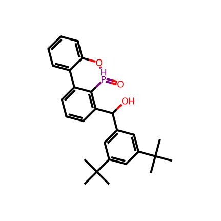 CC(C)(C)c1cc(C(O)c2cccc3c2[PH](=O)Oc2ccccc2-3)cc(C(C)(C)C)c1